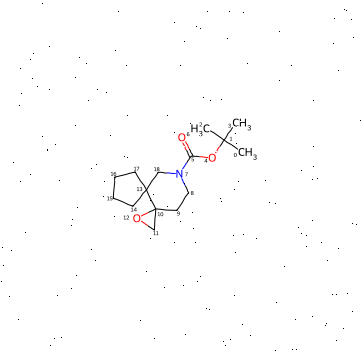 CC(C)(C)OC(=O)N1CCC2(CO2)C2(CCCC2)C1